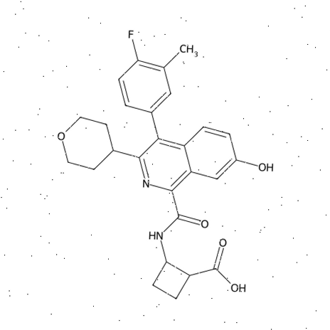 Cc1cc(-c2c(C3CCOCC3)nc(C(=O)NC3CCC3C(=O)O)c3cc(O)ccc23)ccc1F